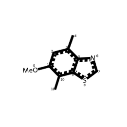 COc1cc(C)c2ncsc2c1C